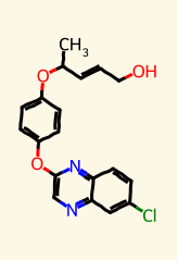 CC(C=CCO)Oc1ccc(Oc2cnc3cc(Cl)ccc3n2)cc1